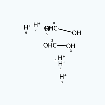 O=CO.O=CO.[H+].[H+].[H+].[H+].[H+].[H+]